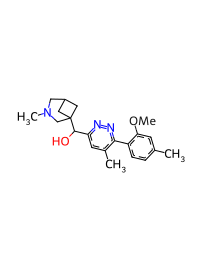 COc1cc(C)ccc1-c1nnc(C(O)C23CC(CN(C)C2)C3)cc1C